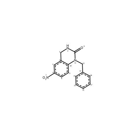 O=C1NCc2cc([N+](=O)[O-])ccc2N1Cc1ccccc1